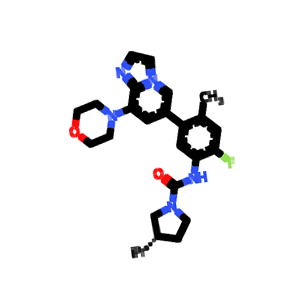 Cc1cc(F)c(NC(=O)N2CC[C@H](C(C)C)C2)cc1-c1cc(N2CCOCC2)c2nccn2c1